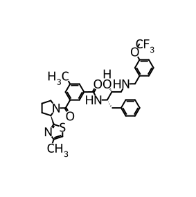 Cc1cc(C(=O)N[C@@H](Cc2ccccc2)[C@H](O)CNCc2cccc(OC(F)(F)F)c2)cc(C(=O)N2CCC[C@@H]2c2nc(C)cs2)c1